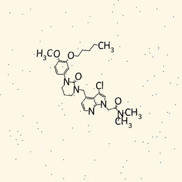 CCCCCOc1cc(N2CCCN(Cc3ccnc4c3c(Cl)cn4CC(=O)N(C)C)C2=O)ccc1OC